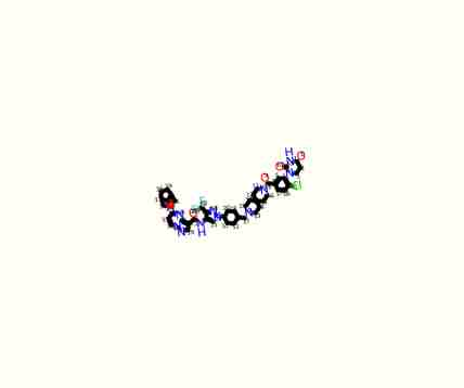 O=C1CCN(c2cc(C(=O)N3CCC4(CCN(CC5CCC(n6cc(NC(=O)c7cnn8ccc(N9CC%10CCC(C9)C%10=O)nc78)c(C(F)F)n6)CC5)CC4)CC3)ccc2Cl)C(=O)N1